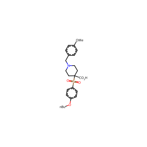 CCCCOc1ccc(S(=O)(=O)C2(C(=O)O)CCN(Cc3ccc(OC)cc3)CC2)cc1